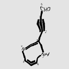 O=CC#Cc1ncc[nH]1